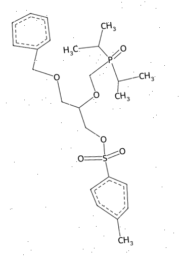 Cc1ccc(S(=O)(=O)OCC(COCc2ccccc2)OCP(=O)(C(C)C)C(C)C)cc1